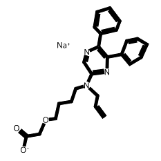 C=CCN(CCCCOCC(=O)[O-])c1cnc(-c2ccccc2)c(-c2ccccc2)n1.[Na+]